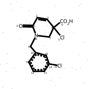 O=C1C=CC(Cl)(C(=O)O)CN1Cc1cccc(Cl)c1